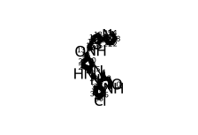 O=C1Cc2cnc(Nc3ccc(C(=O)NCc4ccc(-c5ccccn5)s4)cc3)nc2-c2ccc(Cl)cc2N1